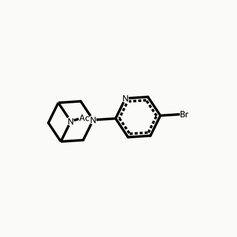 CC(=O)N1C2CC1CN(c1ccc(Br)cn1)C2